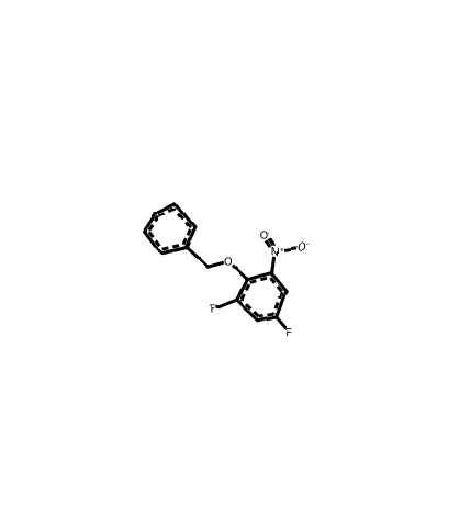 O=[N+]([O-])c1cc(F)cc(F)c1OCc1ccccc1